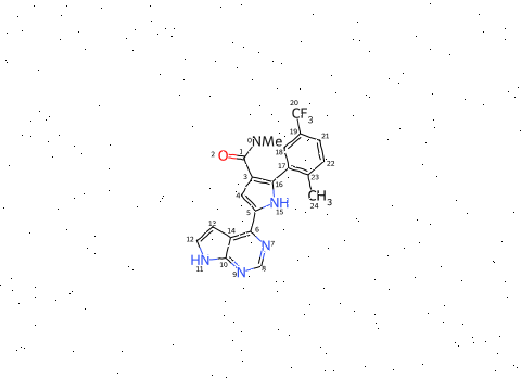 CNC(=O)c1cc(-c2ncnc3[nH]ccc23)[nH]c1-c1cc(C(F)(F)F)ccc1C